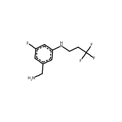 NCc1cc(F)cc(NCCC(F)(F)F)c1